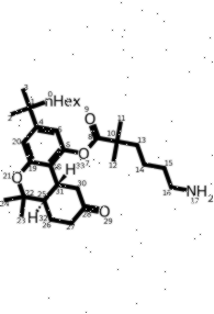 CCCCCCC(C)(C)c1cc(OC(=O)C(C)(C)CCCCN)c2c(c1)OC(C)(C)[C@@H]1CCC(=O)C[C@@H]21